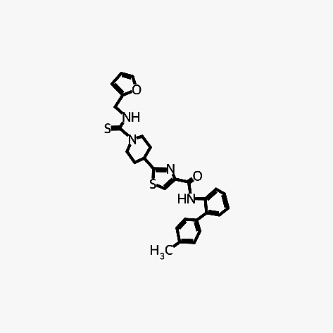 Cc1ccc(-c2ccccc2NC(=O)c2csc(C3CCN(C(=S)NCc4ccco4)CC3)n2)cc1